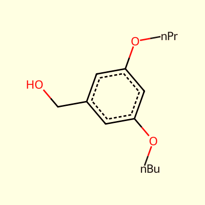 CCCCOc1cc(CO)cc(OCCC)c1